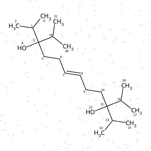 CC(C)C(O)(CCC=CCCC(O)(C(C)C)C(C)C)C(C)C